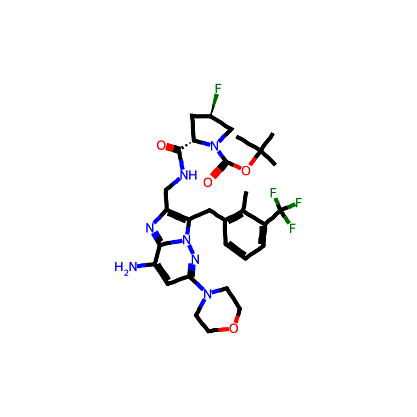 Cc1c(Cc2c(CNC(=O)[C@@H]3C[C@@H](F)CN3C(=O)OC(C)(C)C)nc3c(N)cc(N4CCOCC4)nn23)cccc1C(F)(F)F